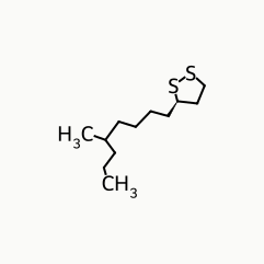 CCCC(C)CCCC[C@@H]1CCSS1